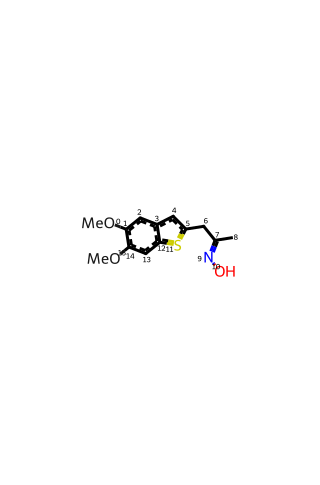 COc1cc2cc(CC(C)=NO)sc2cc1OC